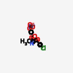 Cc1ncc2c(c1OC(=O)[C@H]1CC[C@@H](O[N+](=O)[O-])CC1)COC2c1ccc(Cl)cc1